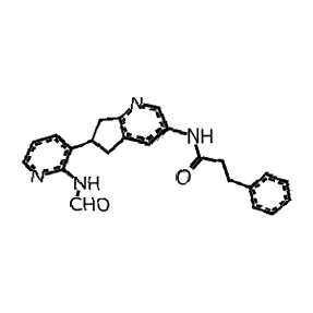 O=CNc1ncccc1C1Cc2cc(NC(=O)CCc3ccccc3)cnc2C1